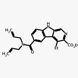 C=CCN(CC=C)C(=O)c1ccc2[nH]c3cnc(C(=O)OCC)c(CC)c3c2c1